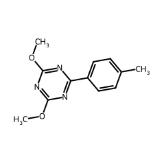 COc1nc(OC)nc(-c2ccc(C)cc2)n1